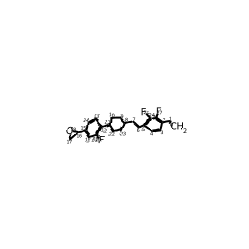 C=Cc1ccc(CCC2CCC(c3ccc(C4CO4)cc3F)CC2)c(F)c1F